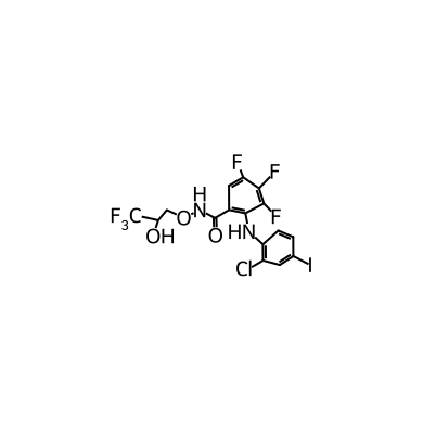 O=C(NOCC(O)C(F)(F)F)c1cc(F)c(F)c(F)c1Nc1ccc(I)cc1Cl